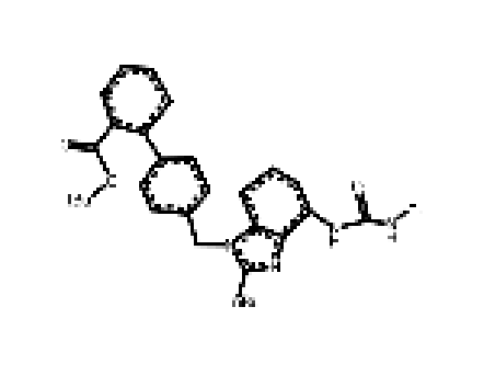 CCCCc1nc2c(NC(=O)NCC)cccc2n1Cc1ccc(-c2ccccc2C(=O)OC(C)(C)C)cc1